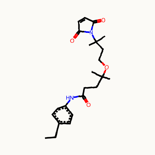 CCc1ccc(NC(=O)CCC(C)(C)OCCC(C)(C)N2C(=O)C=CC2=O)cc1